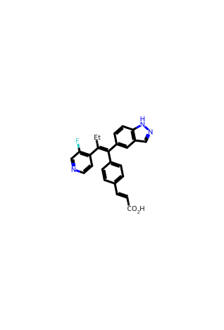 CC/C(=C(/c1ccc(/C=C/C(=O)O)cc1)c1ccc2[nH]ncc2c1)c1ccncc1F